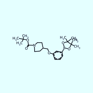 CC(C)(C)OC(=O)N1CCC(COc2cccc(B3OC(C)(C)C(C)(C)O3)c2)CC1